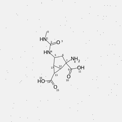 CNC(=O)NC1CC(N)(C(=O)O)C2C(C(=O)O)C12